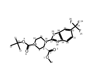 COC(=O)[C@@H]1CN(C(=O)OC(C)(C)C)CCN1c1nc2ccc(C(F)(F)F)cc2s1